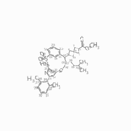 COC(=O)C1CC2(C1)CC(C1c3cccc(c3)S(=O)(=O)Nc3nc(cc(-c4c(C)cccc4C)n3)OC[C@H]1CCC(C)C)C2